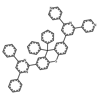 c1ccc(-c2cc(-c3ccccc3)nc(-c3ccc4c(c3)C(c3ccccc3)(c3ccccc3)c3cc(-c5cc(-c6ccncc6)nc(-c6ccncc6)c5)ccc3S4)n2)cc1